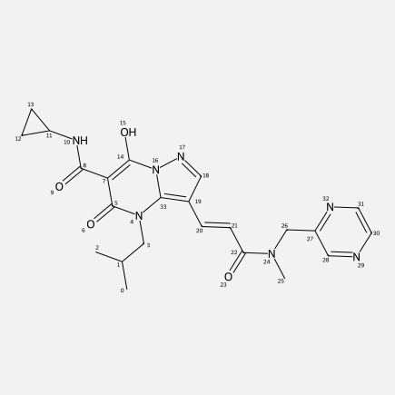 CC(C)Cn1c(=O)c(C(=O)NC2CC2)c(O)n2ncc(C=CC(=O)N(C)Cc3cnccn3)c12